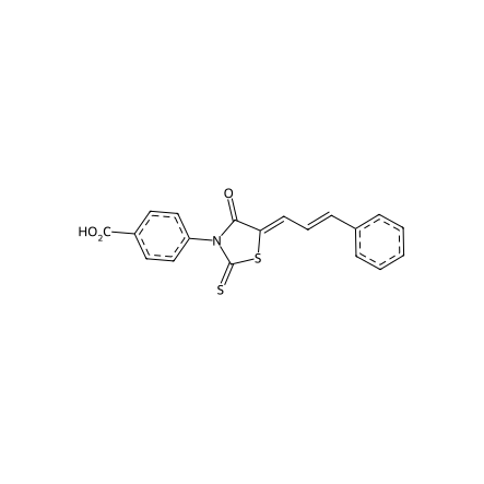 O=C(O)c1ccc(N2C(=O)C(=CC=Cc3ccccc3)SC2=S)cc1